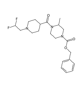 CC1CN(C(=O)OCc2ccccc2)CCN1C(=O)C1CCN(CC(F)F)CC1